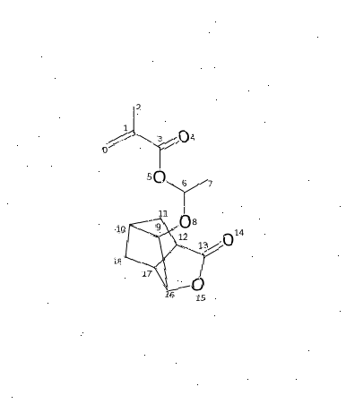 C=C(C)C(=O)OC(C)OC1C2CC3C(=O)OC1C3C2